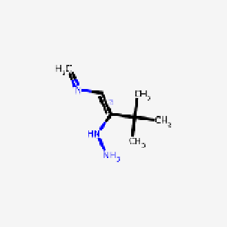 C=N/C=C(\NN)C(C)(C)C